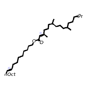 CCCCCCCC/C=C/CCCCCCCCOC(=O)/C=C(\C)CCCC(C)CCCC(C)CCCC(C)C